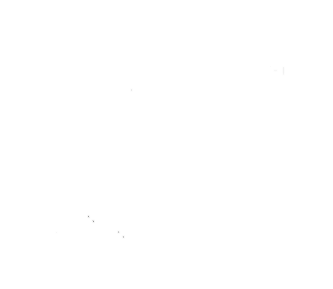 CC(C)n1ncc2cc(Oc3ccc(O)cc3)ccc21